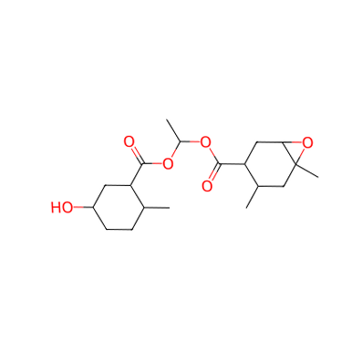 CC(OC(=O)C1CC(O)CCC1C)OC(=O)C1CC2OC2(C)CC1C